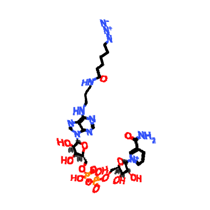 [N-]=[N+]=NCCCCCC(=O)NCCCNc1ncnc2c1ncn2[C@@H]1O[C@H](COP(=O)(O)OP(=O)(O)OC[C@H]2O[C@@H]([n+]3cccc(C(N)=O)c3)[C@H](O)[C@@H]2O)[C@@H](O)[C@H]1O